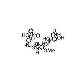 COc1cc(NC(=O)OCCN(C)C2CCC(C(O)(C(=O)OC3CCCC3)c3ccccc3)CC2)c(Cl)cc1CNC[C@@H](O)c1ccc(O)c2[nH]c(=O)ccc12